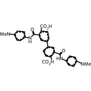 CNc1ccc(NC(=O)c2cc(-c3ccc(C(=O)O)c(C(=O)Nc4ccc(NC)cc4)c3)ccc2C(=O)O)cc1